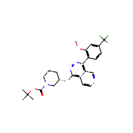 COc1cc(C(F)(F)F)ccc1-c1nnc(S[C@@H]2CCCN(C(=O)OC(C)(C)C)C2)c2ccncc12